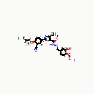 COc1ccc(/C=N/NC(=O)c2sc(-c3ccc(OCC(C)C)c(C#N)c3)nc2C)cc1O